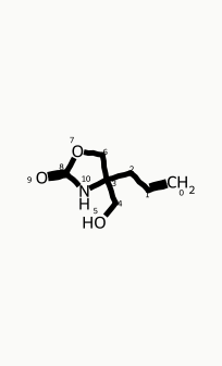 C=CCC1(CO)COC(=O)N1